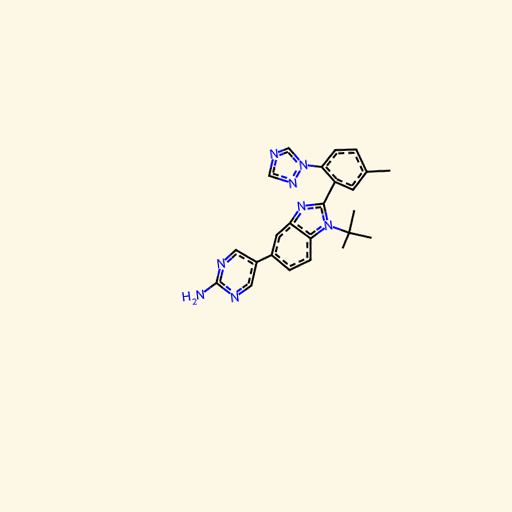 Cc1ccc(-n2cncn2)c(-c2nc3cc(-c4cnc(N)nc4)ccc3n2C(C)(C)C)c1